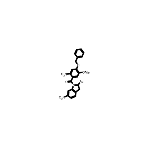 COc1cc(C(=O)N2c3cc([N+](=O)[O-])ccc3CC2C(C)=O)c([N+](=O)[O-])cc1OCc1ccccc1